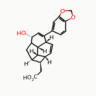 O=C(O)C[C@@H]1[C@H]2C=C[C@H]3C(c4ccc5c(c4)OCO5)=C[C@@H](O)C4C[C@H]1[C@@H]2[C@H]43